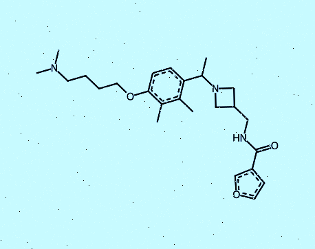 Cc1c(OCCCCN(C)C)ccc(C(C)N2CC(CNC(=O)c3ccoc3)C2)c1C